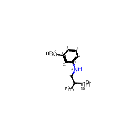 CCCCc1cccc(NCC(CCC)CCC)c1